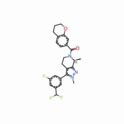 C[C@H]1c2nn(C)c(-c3cc(F)cc(C(F)F)c3)c2CCN1C(=O)c1ccc2c(c1)OCCC2